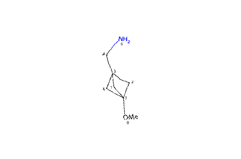 COC12CC(CN)(C1)C2